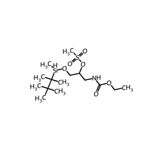 CCOC(=O)NCC(CO[SiH](C)C(C)(C)C(C)(C)C)OS(C)(=O)=O